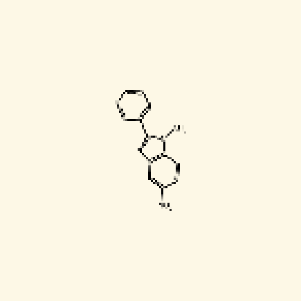 Cn1c(-c2cccnc2)nc2cc([N+](=O)[O-])ccc21